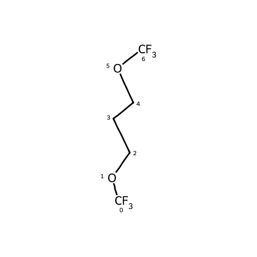 FC(F)(F)OCCCOC(F)(F)F